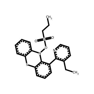 CCCS(=O)(=O)ON1c2ccccc2Sc2cccc(-c3ncccc3CC)c21